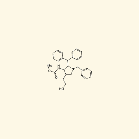 CC(C)(C)OC(=O)NC1C(CCO)CN(Cc2ccccc2)C1C(c1ccccc1)c1ccccc1